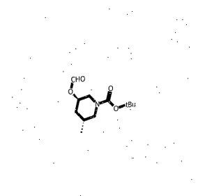 C[C@@H]1C[C@@H](OC=O)CN(C(=O)OC(C)(C)C)C1